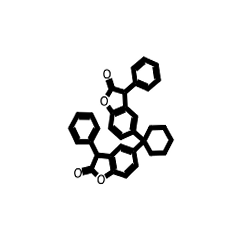 O=C1Oc2ccc(C3(c4ccc5c(c4)C(c4ccccc4)C(=O)O5)CCCCC3)cc2C1c1ccccc1